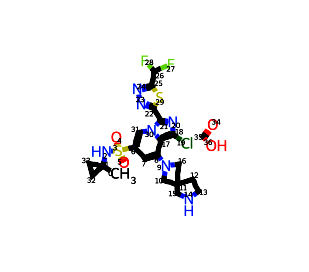 CC1(NS(=O)(=O)c2cc(N3CC4(CCNC4)C3)c3c(Cl)nc(-c4nnc(C(F)F)s4)n3c2)CC1.O=CO